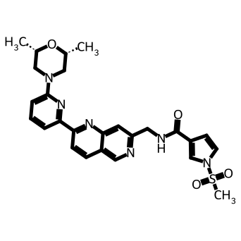 C[C@@H]1CN(c2cccc(-c3ccc4cnc(CNC(=O)c5ccn(S(C)(=O)=O)c5)cc4n3)n2)C[C@H](C)O1